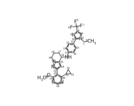 CCn1cc(C(F)(F)F)nc1-c1ccc(NC2CCCn3nc(-c4c(OC)ncnc4C4CC4)cc32)cc1